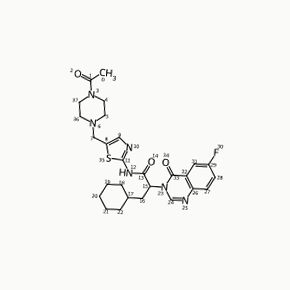 CC(=O)N1CCN(Cc2cnc(NC(=O)C(CC3CCCCC3)n3cnc4ccc(F)cc4c3=O)s2)CC1